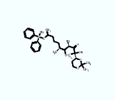 CC[C@@H](C(=O)C(C)(C)[C@@H]1CCOC(C)(C)O1)C(O)[C@@H](C)CCCC(C)O[Si](c1ccccc1)(c1ccccc1)C(C)(C)C